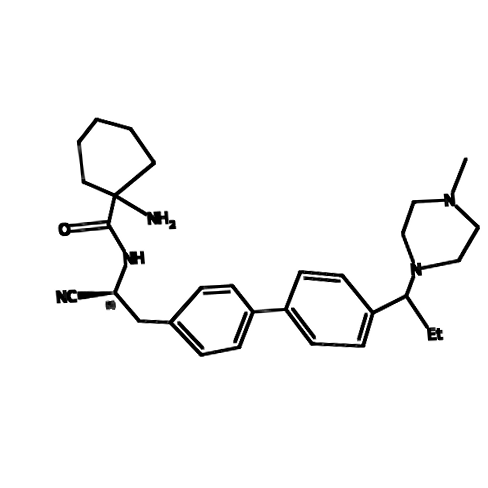 CCC(c1ccc(-c2ccc(C[C@@H](C#N)NC(=O)C3(N)CCCCC3)cc2)cc1)N1CCN(C)CC1